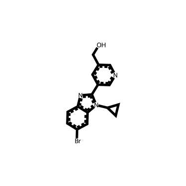 OCc1cncc(-c2nc3ccc(Br)cc3n2C2CC2)c1